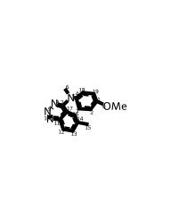 COc1ccc(N(C)c2nnnc3ccc(C)cc23)cc1